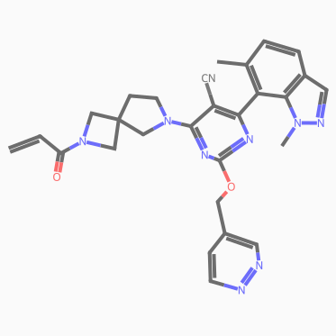 C=CC(=O)N1CC2(CCN(c3nc(OCc4ccnnc4)nc(-c4c(C)ccc5cnn(C)c45)c3C#N)C2)C1